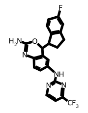 NC1=Nc2ccc(Nc3nccc(C(F)(F)F)n3)cc2C(C2CCc3cc(F)ccc32)O1